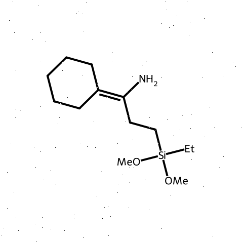 CC[Si](CCC(N)=C1CCCCC1)(OC)OC